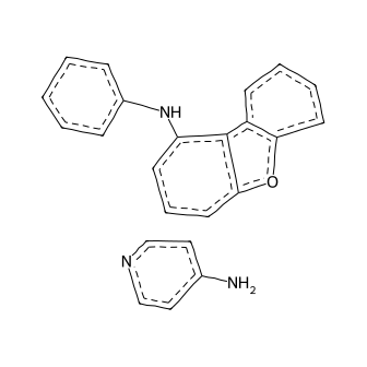 Nc1ccncc1.c1ccc(Nc2cccc3oc4ccccc4c23)cc1